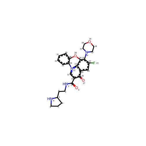 O=C(NCCC1CCCN1)c1cn2c3c(c(N4CCOCC4)c(F)cc3c1=O)Oc1ccccc1-2